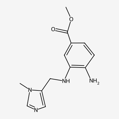 COC(=O)c1ccc(N)c(NCc2cncn2C)c1